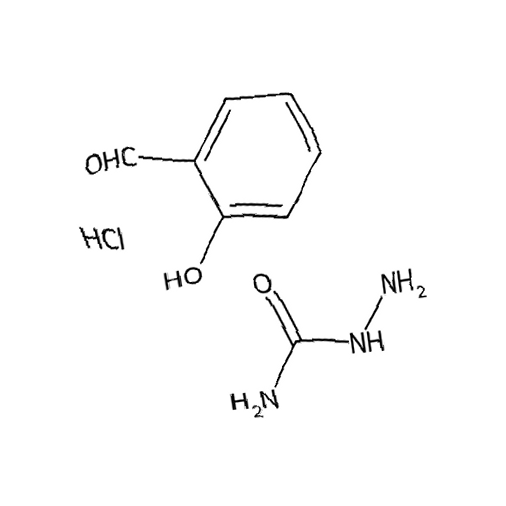 Cl.NNC(N)=O.O=Cc1ccccc1O